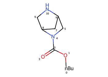 CCCCOC(=O)N1CC2CC1CN2